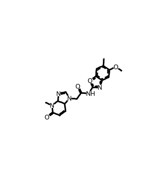 COc1cc2nc(NC(=O)CN3C=NC4C3C=CC(=O)N4C)oc2cc1C